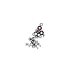 CN(C)C(C)(C)CS(=O)(=O)CC[C@@H]1OCC[C@@]2(S(=O)(=O)c3ccc(Cl)cc3)c3c(F)ccc(F)c3OC[C@@H]12